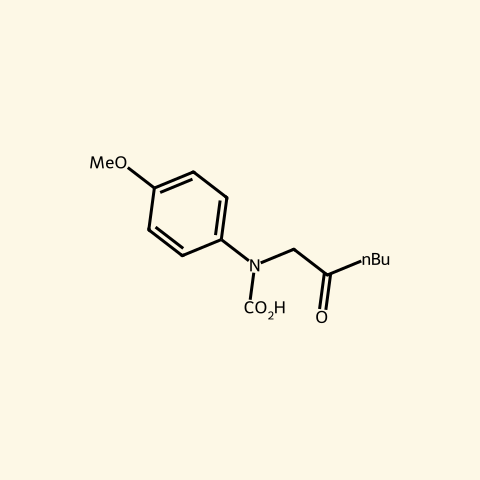 CCCCC(=O)CN(C(=O)O)c1ccc(OC)cc1